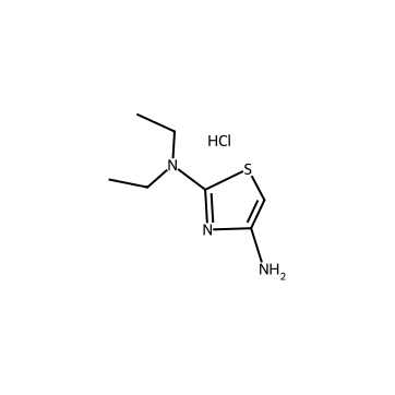 CCN(CC)c1nc(N)cs1.Cl